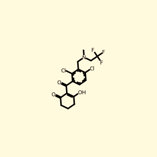 CN(Cc1c(Cl)ccc(C(=O)C2=C(O)CCCC2=O)c1Cl)CC(F)(F)F